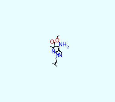 CCOC(=O)c1c(C)nc2c(cnn2CC=C(C)C)c1N